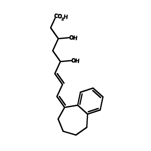 O=C(O)CC(O)CC(O)/C=C/C=C1/CCCCc2ccccc21